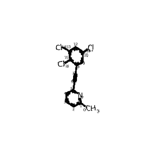 Cc1cccc(C#Cc2cc(Cl)cc(Cl)c2Cl)n1